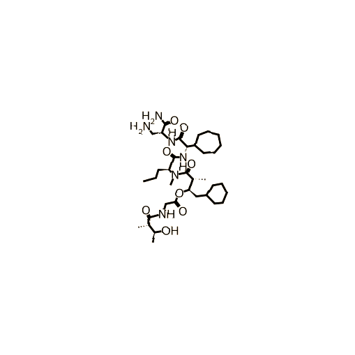 CCC[C@@H](C(=O)N[C@H](C(=O)N[C@@H](CN)C(N)=O)C1CCCCCC1)N(C)C(=O)[C@H](C)[C@@H](CC1CCCCC1)OC(=O)CNC(=O)[C@@H](C)[C@H](C)O